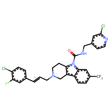 O=C(NCc1ccnc(Cl)c1)n1c2c(c3ccc(C(F)(F)F)cc31)CN(C/C=C/c1ccc(Cl)c(F)c1)CC2